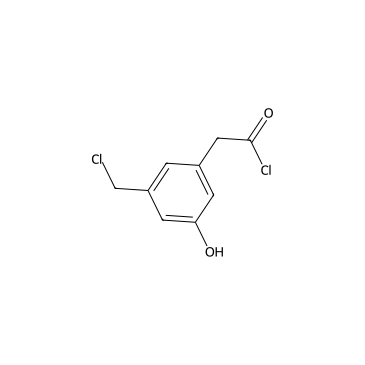 O=C(Cl)Cc1cc(O)cc(CCl)c1